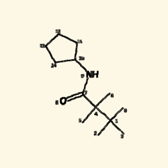 CC(C)(C)C(C)(C)C(=O)NC1CCCC1